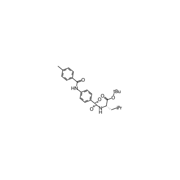 Cc1ccc(C(=O)Nc2ccc(S(=O)(=O)N[C@@H](CC(C)C)C(=O)OC(C)(C)C)cc2)cc1